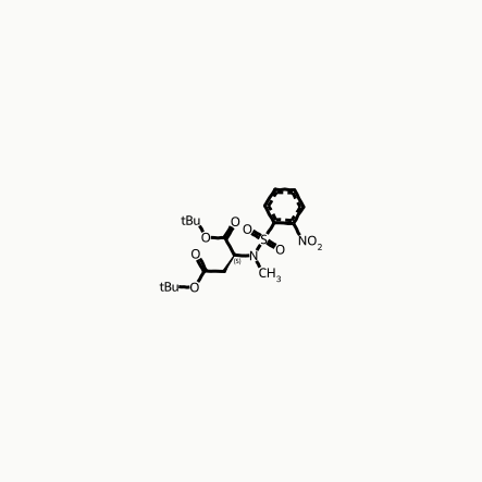 CN([C@@H](CC(=O)OC(C)(C)C)C(=O)OC(C)(C)C)S(=O)(=O)c1ccccc1[N+](=O)[O-]